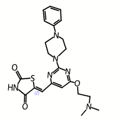 CN(C)CCOc1cc(/C=C2\SC(=O)NC2=O)nc(N2CCN(c3ccccc3)CC2)n1